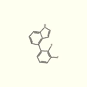 Fc1cccc(-c2[c]ccc3[nH]ccc23)c1F